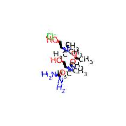 CC(=O)[O-].C[N+](C)(C)CCO.C[N+](C)(C)CCO.NC(N)=O.[Cl-]